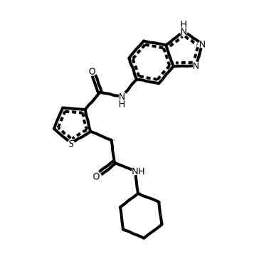 O=C([CH]c1sccc1C(=O)Nc1ccc2[nH]nnc2c1)NC1CCCCC1